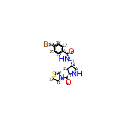 O=C(NC[C@@H]1CN[C@H](C(=O)N2CCSC2)C1)c1ccc(Br)cc1